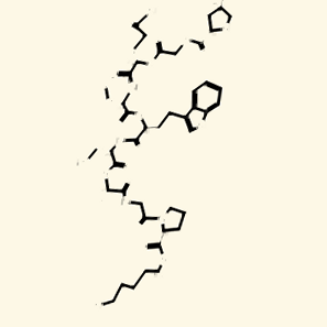 CC(C)C[C@H](NC(=O)[C@H](CCc1c[nH]c2ccccc12)NC(=O)[C@H](CC(=O)O)NC(=O)[C@H](CCC(N)=O)NC(=O)CNC(=O)[C@@H]1C[C@@H](O)CN1)C(=O)N[C@@H](C)C(=O)NCC(=O)N1CCC[C@H]1C(=O)N[C@@H](CCCCN)C(=O)O